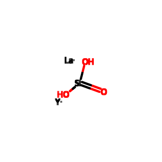 O=[Si](O)O.[La].[Y]